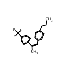 CCCc1ccc(C=C(C)c2ccc(C(F)(F)F)cc2)cc1